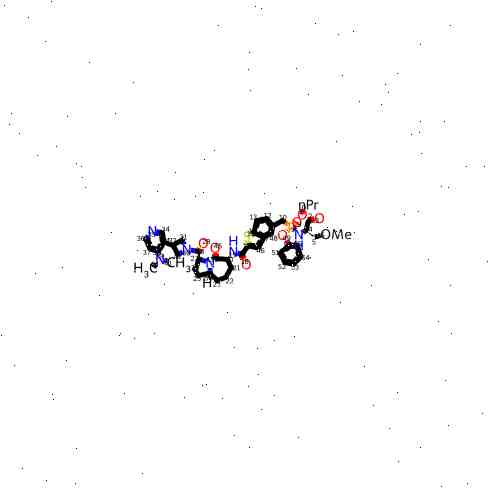 CCCOC(=O)[C@H](COC)NP(=O)(Cc1ccc2sc(C(=O)N[C@H]3CCC[C@H]4CC[C@@H](C(=O)N5CC(c6cnccc6N(C)C)C5)N4C3=O)cc2c1)Oc1ccccc1